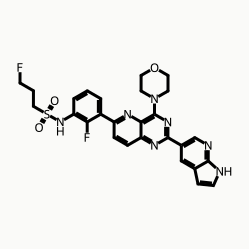 O=S(=O)(CCCF)Nc1cccc(-c2ccc3nc(-c4cnc5[nH]ccc5c4)nc(N4CCOCC4)c3n2)c1F